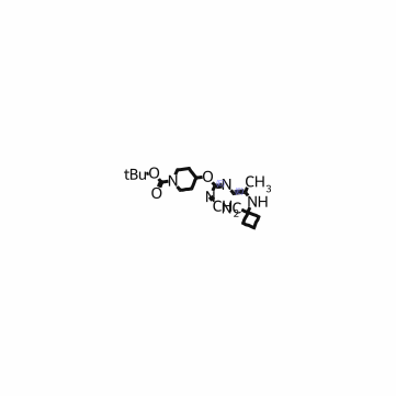 C=N/C(=N\C=C(/C)NC1(C#N)CCC1)OC1CCN(C(=O)OC(C)(C)C)CC1